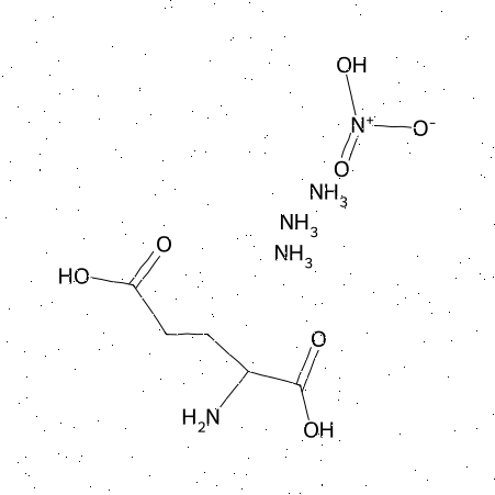 N.N.N.NC(CCC(=O)O)C(=O)O.O=[N+]([O-])O